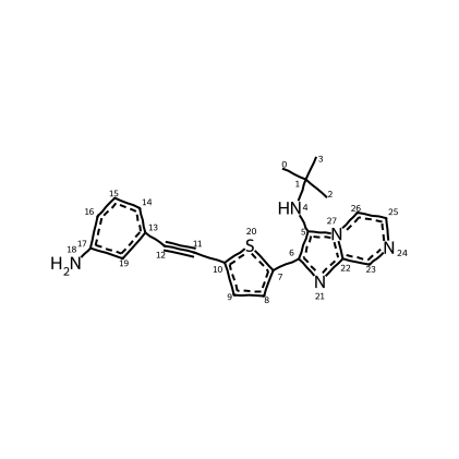 CC(C)(C)Nc1c(-c2ccc(C#Cc3cccc(N)c3)s2)nc2cnccn12